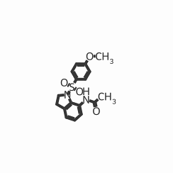 COc1ccc(S(=O)(=O)N2CCc3cccc(NC(C)=O)c32)cc1